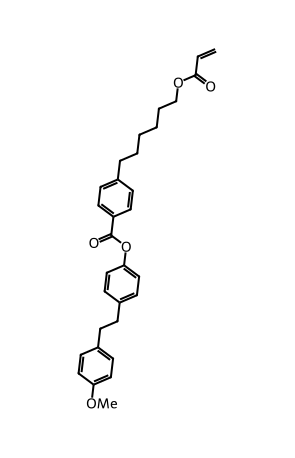 C=CC(=O)OCCCCCCc1ccc(C(=O)Oc2ccc(CCc3ccc(OC)cc3)cc2)cc1